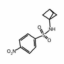 O=[N+]([O-])c1ccc(S(=O)(=O)NC23CC(C2)C3)cc1